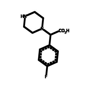 O=C(O)C(c1ccc(F)cc1)N1CCNCC1